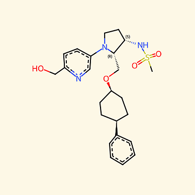 CS(=O)(=O)N[C@H]1CCN(c2ccc(CO)nc2)[C@H]1CO[C@H]1CC[C@@H](c2ccccc2)CC1